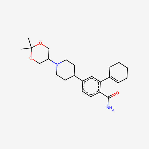 CC1(C)OCC(N2CCC(c3ccc(C(N)=O)c(C4=CCCCC4)c3)CC2)CO1